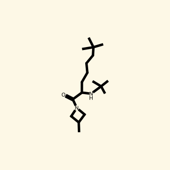 CC1CN(C(=O)C(CCCCC(C)(C)C)NC(C)(C)C)C1